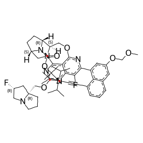 COCOc1cc(-c2nc3c4c(nc(OC[C@]56CCCN5C[C@H](F)C6)nc4c2F)N2C[C@@H]4CC[C@H]([C@H]2CO3)N4C(=O)OC(C)(C)C)c2c(C#C[Si](C(C)C)(C(C)C)C(C)C)cccc2c1